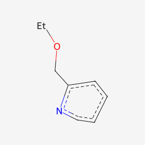 CCOCc1ccccn1